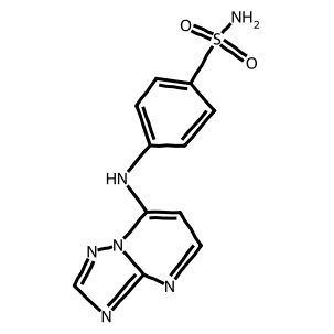 NS(=O)(=O)c1ccc(Nc2ccnc3ncnn23)cc1